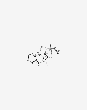 C[C@@H]1[C@@H]2C[C@@H](c3ccccc3O2)N1CC(C)(C)C=O